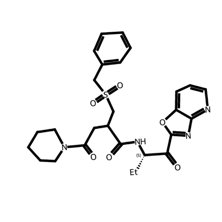 CC[C@H](NC(=O)C(CC(=O)N1CCCCC1)CS(=O)(=O)Cc1ccccc1)C(=O)c1nc2ncccc2o1